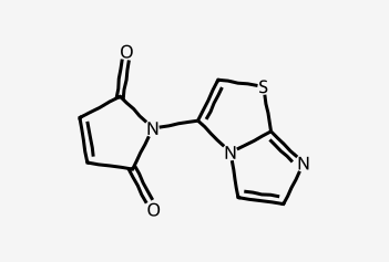 O=C1C=CC(=O)N1c1csc2nccn12